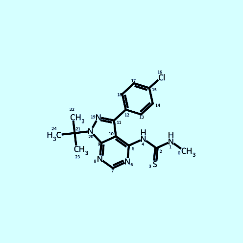 CNC(=S)Nc1ncnc2c1c(-c1ccc(Cl)cc1)nn2C(C)(C)C